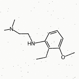 CCc1c(NCCN(C)C)[c]ccc1OC